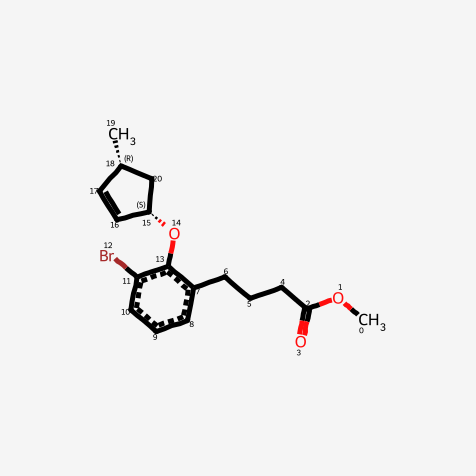 COC(=O)CCCc1cccc(Br)c1O[C@@H]1C=C[C@H](C)C1